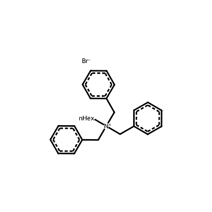 CCCCCC[N+](Cc1ccccc1)(Cc1ccccc1)Cc1ccccc1.[Br-]